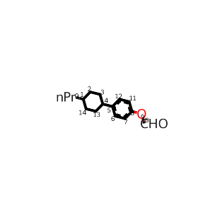 CCCC1CCC(c2ccc(OC=O)cc2)CC1